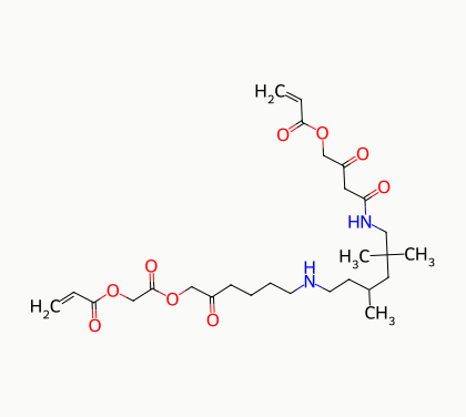 C=CC(=O)OCC(=O)CC(=O)NCC(C)(C)CC(C)CCNCCCCC(=O)COC(=O)COC(=O)C=C